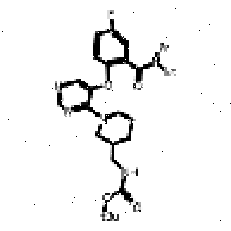 CCN(C(=O)c1cc(F)ccc1Oc1cncnc1N1CCCC(CNC(=O)OC(C)(C)C)C1)C(C)C